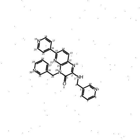 O=c1c(NCc2cccnc2)nc2ccc(-c3ccncc3)nc2n1Cc1cccnc1